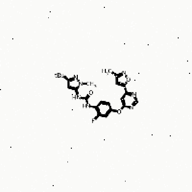 Cc1cc(-c2cc(Oc3ccc(NC(=O)Nc4cc(C(C)(C)C)nn4C)c(F)c3)ncn2)on1